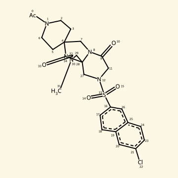 CC(=O)N1CCC2(CC1)CN1C(=O)CN(S(=O)(=O)c3ccc4cc(Cl)ccc4c3)CC13CN(C)C(=O)N23